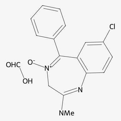 CNC1=Nc2ccc(Cl)cc2C(c2ccccc2)=[N+]([O-])C1.O=CO